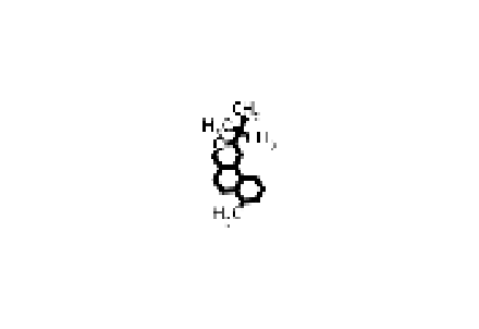 C=CC(C)(C)C1CC2C(CCC3C(C)CCCC32)CO1